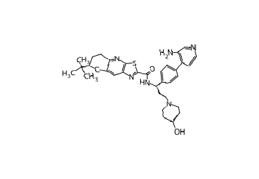 CC(C)(C)[C@H]1CCc2nc3sc(C(=O)N[C@H](CCN4CCC(O)CC4)c4ccc(-c5ccncc5N)cc4)nc3cc2C1